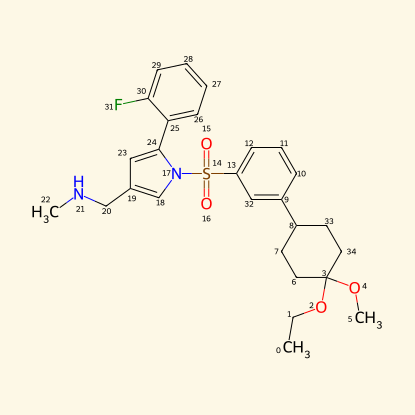 CCOC1(OC)CCC(c2cccc(S(=O)(=O)n3cc(CNC)cc3-c3ccccc3F)c2)CC1